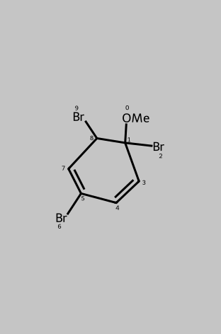 COC1(Br)C=CC(Br)=CC1Br